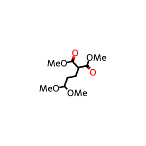 COC(=O)C(CCC(OC)OC)C(=O)OC